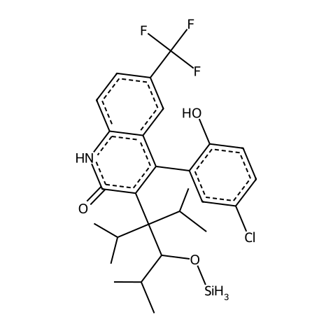 CC(C)C(O[SiH3])C(c1c(-c2cc(Cl)ccc2O)c2cc(C(F)(F)F)ccc2[nH]c1=O)(C(C)C)C(C)C